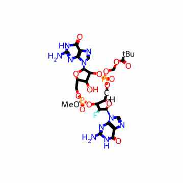 COP1(=O)OCC2O[C@@H](n3cnc4c(=O)[nH]c(N)nc43)C(OP(=O)(OCOC(=O)C(C)(C)C)OC[C@H]3O[C@@H](n4cnc5c(=O)[nH]c(N)nc54)C(F)C3O1)C2O